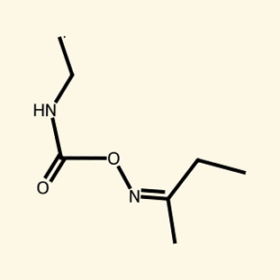 [CH2]CNC(=O)ON=C(C)CC